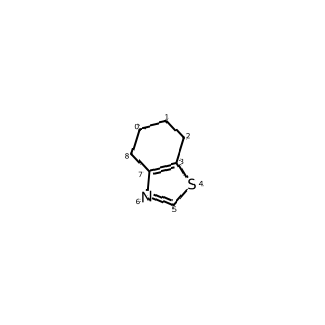 [CH]1CCc2scnc2C1